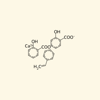 C=Cc1ccccc1.O=C([O-])c1ccccc1O.O=C([O-])c1ccccc1O.[Ca+2]